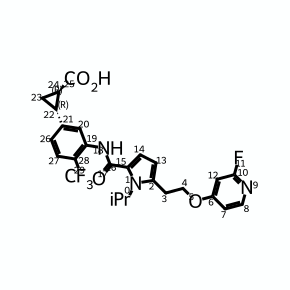 CC(C)n1c(CCOc2ccnc(F)c2)ccc1C(=O)Nc1cc([C@@H]2C[C@H]2C(=O)O)ccc1C(F)(F)F